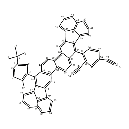 Cc1ccc(C(C)(C)C)cc1-c1c2c(cc3c1ccc1c4cc5c(c(-c6ccc(C#N)cc6C#N)c4ccc31)-c1cccc3cccc-5c13)-c1cccc3cccc-2c13